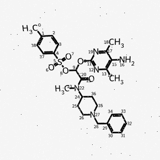 Cc1ccc(S(=O)(=O)OC(Oc2nc(C)c(N)c(C)n2)C(=O)N(C)C2CCN(Cc3ccccc3)CC2)cc1